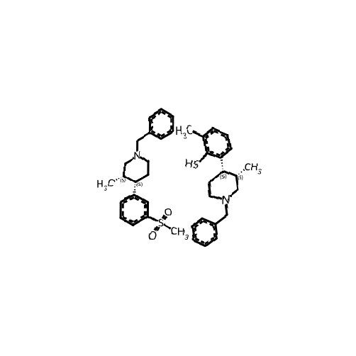 C[C@@H]1CN(Cc2ccccc2)CC[C@@H]1c1cccc(S(C)(=O)=O)c1.Cc1cccc([C@H]2CCN(Cc3ccccc3)C[C@H]2C)c1S